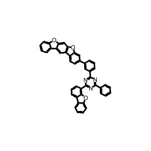 c1ccc(-c2nc(-c3cccc(-c4ccc5c(c4)oc4cc6oc7ccccc7c6cc45)c3)nc(-c3cccc4c3oc3ccccc34)n2)cc1